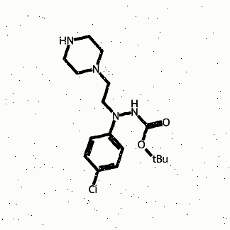 CC(C)(C)OC(=O)NN(CCN1CCNCC1)c1ccc(Cl)cc1